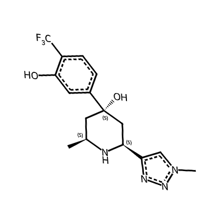 C[C@H]1C[C@@](O)(c2ccc(C(F)(F)F)c(O)c2)C[C@@H](c2cn(C)nn2)N1